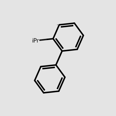 CC(C)c1[c]cccc1-c1ccccc1